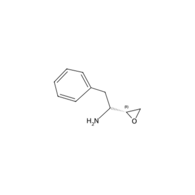 NC(Cc1ccccc1)[C@@H]1CO1